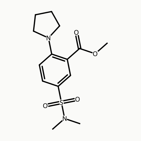 COC(=O)c1cc(S(=O)(=O)N(C)C)ccc1N1CCCC1